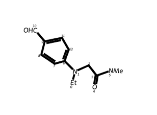 CCN(CC(=O)NC)c1ccc(C=O)cc1